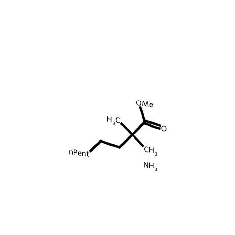 CCCCCCCC(C)(C)C(=O)OC.N